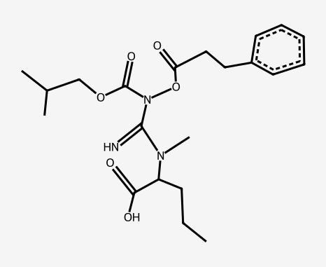 CCCC(C(=O)O)N(C)C(=N)N(OC(=O)CCc1ccccc1)C(=O)OCC(C)C